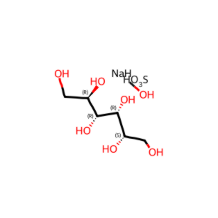 O=S(=O)(O)O.OC[C@@H](O)[C@@H](O)[C@H](O)[C@@H](O)CO.[NaH]